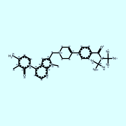 [2H]C([2H])([2H])N(C(=O)c1ccc(C2=CCN(Cc3cc4c(-n5ccc(N)c(C)c5=O)ccnc4n3C)CC2)cc1)C([2H])([2H])[2H]